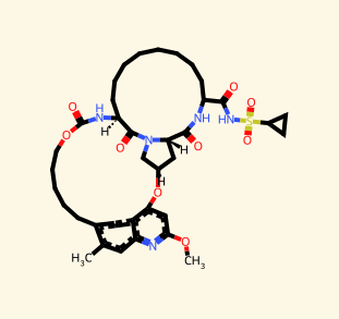 COc1cc2c3cc(c(C)cc3n1)CCCCCOC(=O)N[C@H]1CCCCCCCCC(C(=O)NS(=O)(=O)C3CC3)NC(=O)[C@@H]3C[C@H](CN3C1=O)O2